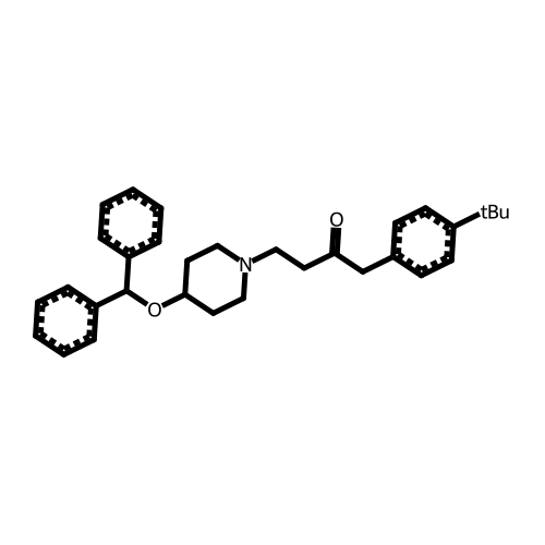 CC(C)(C)c1ccc(CC(=O)CCN2CCC(OC(c3ccccc3)c3ccccc3)CC2)cc1